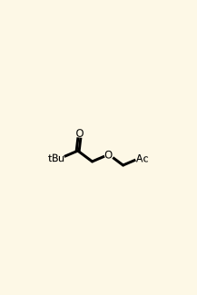 CC(=O)COCC(=O)C(C)(C)C